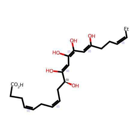 CC/C=C\CC/C(O)=C/C(O)=C(O)\C=C(/O)[C@@H](O)C/C=C\C/C=C\CCC(=O)O